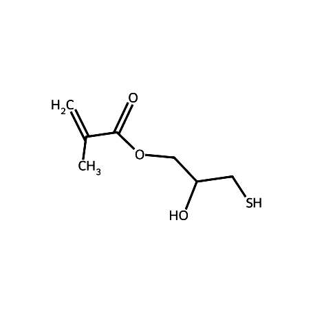 C=C(C)C(=O)OCC(O)CS